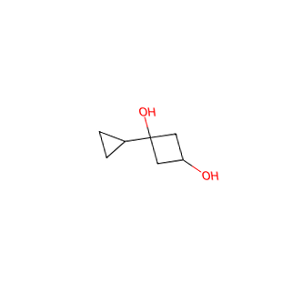 OC1CC(O)(C2CC2)C1